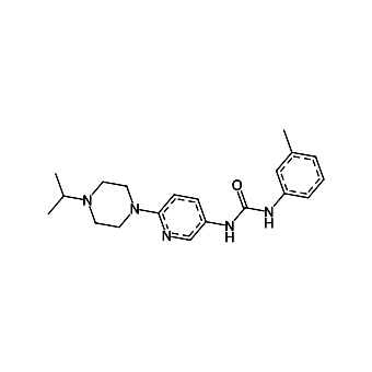 Cc1cccc(NC(=O)Nc2ccc(N3CCN(C(C)C)CC3)nc2)c1